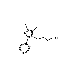 Cc1nc(-c2ccccn2)n(CCCC(=O)O)c1C